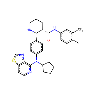 Cc1ccc(NC(=O)[C@H]2CCCN[C@H]2c2ccc(N(c3nccc4scnc34)C3CCCC3)cc2)cc1C(F)(F)F